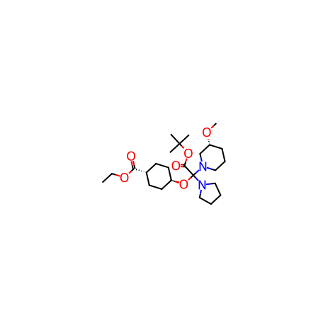 CCOC(=O)[C@H]1CC[C@H](OC(C(=O)OC(C)(C)C)(N2CCCC2)N2CCC[C@@H](OC)C2)CC1